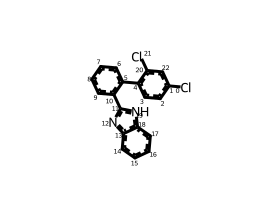 Clc1ccc(-c2ccccc2-c2nc3ccccc3[nH]2)c(Cl)c1